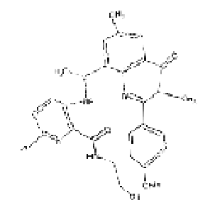 COc1ccc(C2=Nc3c(cc(C)cc3[C@@H](C)Nc3ccc(Cl)nc3C(=O)NCCO)C(=O)C2C)cc1